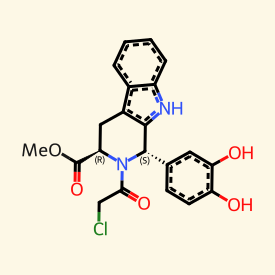 COC(=O)[C@H]1Cc2c([nH]c3ccccc23)[C@H](c2ccc(O)c(O)c2)N1C(=O)CCl